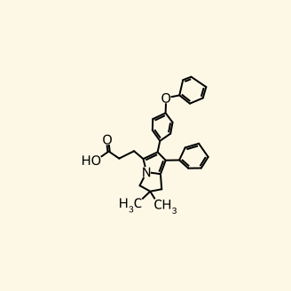 CC1(C)Cc2c(-c3ccccc3)c(-c3ccc(Oc4ccccc4)cc3)c(CCC(=O)O)n2C1